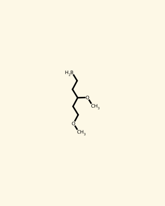 BCCC(CCOC)OC